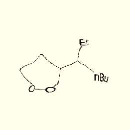 CCCCC(CC)C1CCOO1